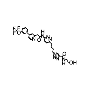 O=C(Cc1cc(-c2cccc(OC(F)(F)F)c2)ccn1)Nc1ccc(CCCCn2cc(C(=O)NCCO)nn2)nn1